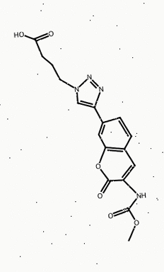 COC(=O)Nc1cc2ccc(-c3cn(CCCC(=O)O)nn3)cc2oc1=O